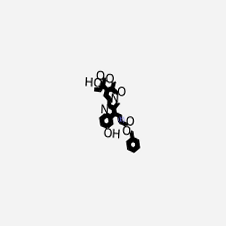 CC[C@@]1(O)C(=O)OCc2c1cc1n(c2=O)Cc2c-1nc1ccc(O)cc1c2/C=C/C(=O)OCc1ccccc1